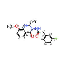 CCCc1nc2c(OC(F)(F)F)cccc2c(=O)n1NC(=O)Cc1cccc(F)c1